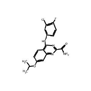 CC(C)Oc1[c]cc2c(Nc3ccc(F)c(Cl)c3)nc(C(N)=O)nc2c1